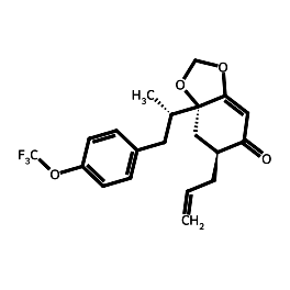 C=CC[C@H]1C[C@]2([C@@H](C)Cc3ccc(OC(F)(F)F)cc3)OCOC2=CC1=O